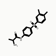 Cc1ccc(S(=O)(=O)c2ccc(NC(=O)C(C)N)cc2)cc1C